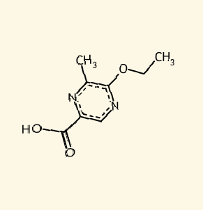 CCOc1ncc(C(=O)O)nc1C